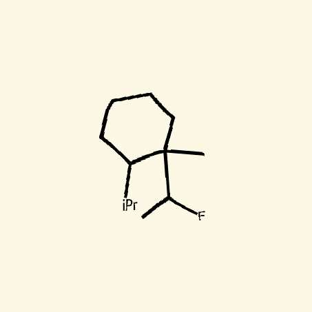 CC(C)C1CCCCC1(C)C(C)F